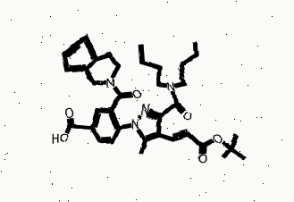 CCCCN(CCCC)C(=O)c1nn(-c2ccc(C(=O)O)cc2C(=O)N2CCc3ccccc3C2)c(C)c1C=CC(=O)OC(C)(C)C